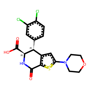 O=C1N[C@@H](C(=O)O)[C@H](c2ccc(Cl)c(Cl)c2)c2cc(N3CCOCC3)sc21